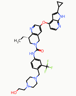 CC[C@H]1CN(C(=O)Nc2ccc(CN3CCN(CCO)CC3)c(C(F)(F)F)c2)Cc2cc(Oc3ccnc4[nH]c(C5CC5)cc34)cnc21